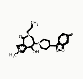 CCCN1CC(N2CCC(c3noc4cc(F)ccc34)CC2)C(O)c2cn(C)cc2C1=O